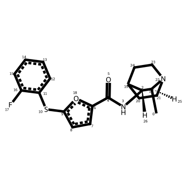 C[C@H]1[C@H](NC(=O)c2ccc(Sc3ccccc3F)o2)C2CCN1CC2